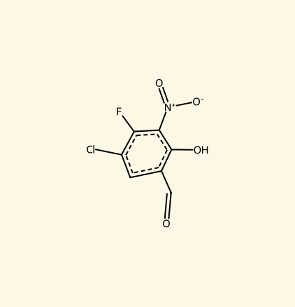 O=Cc1cc(Cl)c(F)c([N+](=O)[O-])c1O